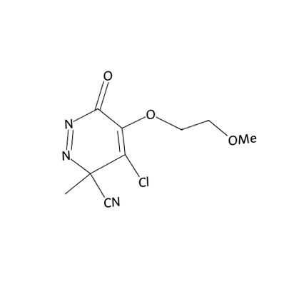 COCCOC1=C(Cl)C(C)(C#N)N=NC1=O